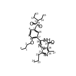 CCCOc1ccc(S(=O)(=O)C(CC)CC)cc1-c1nn2c(CCC)nc(C)c2c(=O)[nH]1